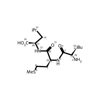 CC[C@H](C)[C@H](N)C(=O)N[C@@H](CCSC)C(=O)N[C@H](CC(C)C)C(=O)O